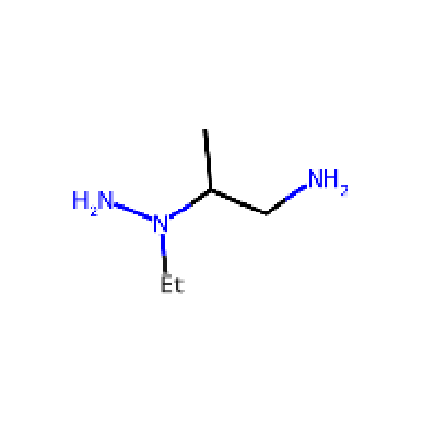 CCN(N)C(C)CN